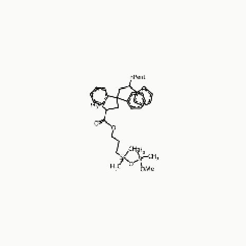 CCCCCC(CC(CC(C)C(=O)OCCC[Si](C)(C)O[Si](C)(C)OC)(c1ccccc1)c1ccccc1)c1ccccc1